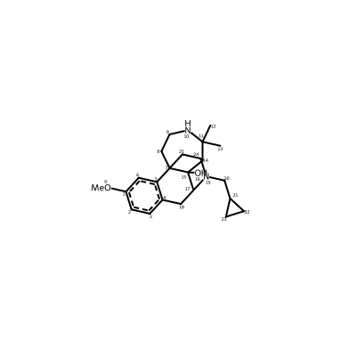 COc1ccc2c(c1)C13CCNC(C)(C)CC1(O)C(C2)N(CC1CC1)CC3